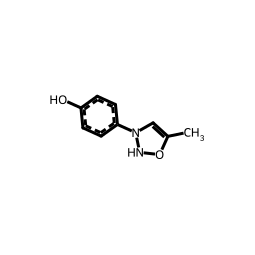 CC1=CN(c2ccc(O)cc2)NO1